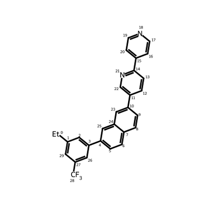 CCc1cc(-c2ccc3ccc(-c4ccc(-c5ccncc5)nc4)cc3c2)cc(C(F)(F)F)c1